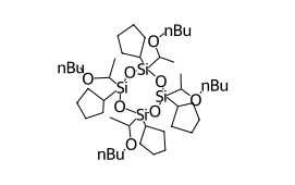 CCCCOC(C)[Si]1(C2CCCC2)O[Si](C2CCCC2)(C(C)OCCCC)O[Si](C2CCCC2)(C(C)OCCCC)O[Si](C2CCCC2)(C(C)OCCCC)O1